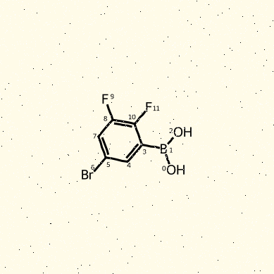 OB(O)c1cc(Br)cc(F)c1F